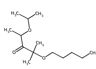 CCCCCOC(C)(C)C(=O)C(C)OC(C)C